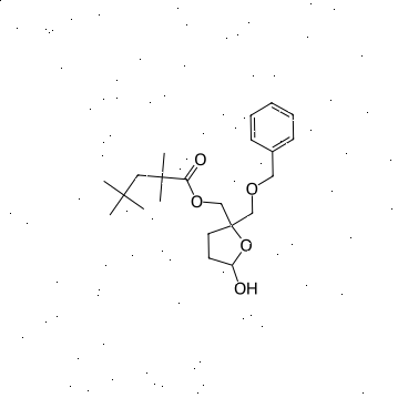 CC(C)(C)CC(C)(C)C(=O)OCC1(COCc2ccccc2)CCC(O)O1